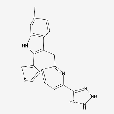 Cc1ccc2c(Cc3cccc(C4=NNNN4)n3)c(-c3ccsc3)[nH]c2c1